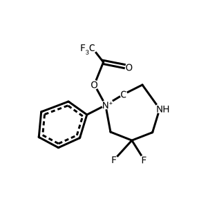 O=C(O[N+]1(c2ccccc2)CCNCC(F)(F)C1)C(F)(F)F